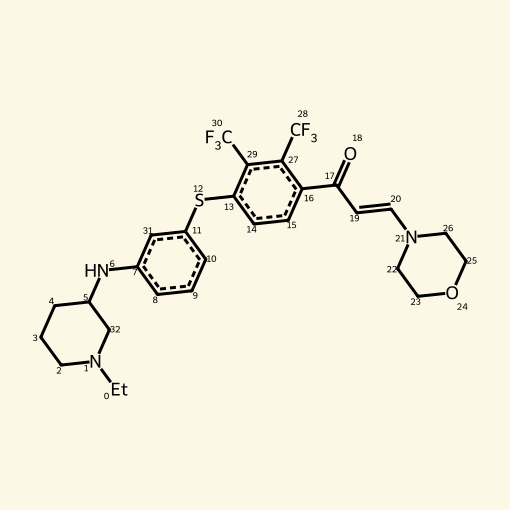 CCN1CCCC(Nc2cccc(Sc3ccc(C(=O)C=CN4CCOCC4)c(C(F)(F)F)c3C(F)(F)F)c2)C1